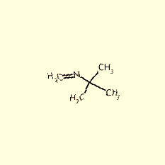 C=NC(C)(C)C